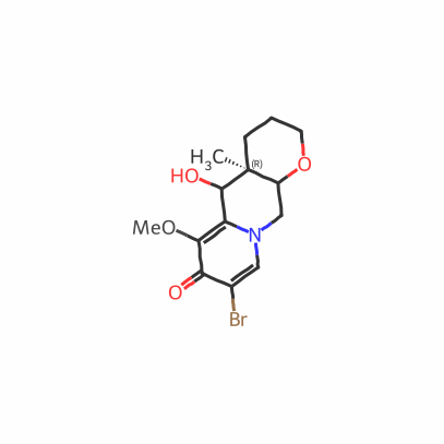 COc1c2n(cc(Br)c1=O)CC1OCCC[C@]1(C)C2O